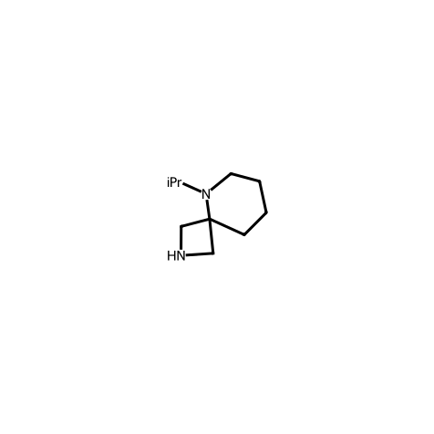 CC(C)N1CCCCC12CNC2